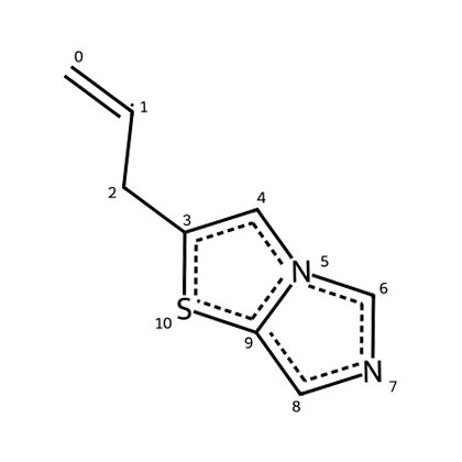 C=[C]Cc1cn2cncc2s1